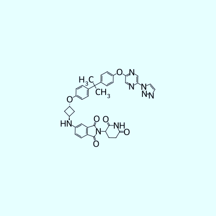 CC(C)(c1ccc(Oc2cnc(-n3ccnn3)cn2)cc1)c1ccc(O[C@H]2C[C@H](Nc3ccc4c(c3)C(=O)N(C3CCC(=O)NC3=O)C4=O)C2)cc1